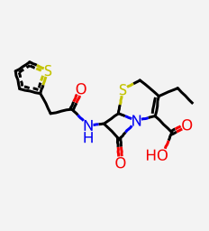 CCC1=C(C(=O)O)N2C(=O)C(NC(=O)Cc3cccs3)C2SC1